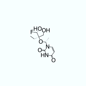 CC[C@](CO)(O[C@H](C)n1ccc(=O)[nH]c1=O)[C@@H](O)F